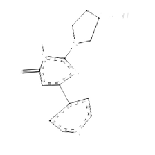 Cn1c(N2CC[C@H](O)C2)nc(-c2ccncc2)cc1=O